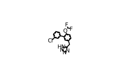 FC(F)Oc1ccc(Cc2nnn[nH]2)cc1-c1cccc(Cl)c1